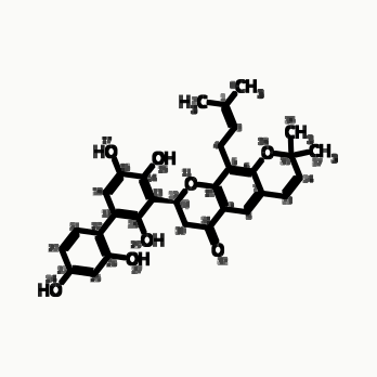 CC(C)=CCc1c2c(cc3c1O[C@H](c1c(O)c(O)cc(-c4ccc(O)cc4O)c1O)CC3=O)C=CC(C)(C)O2